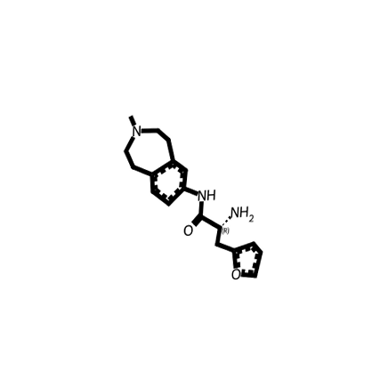 CN1CCc2ccc(NC(=O)[C@H](N)Cc3ccco3)cc2CC1